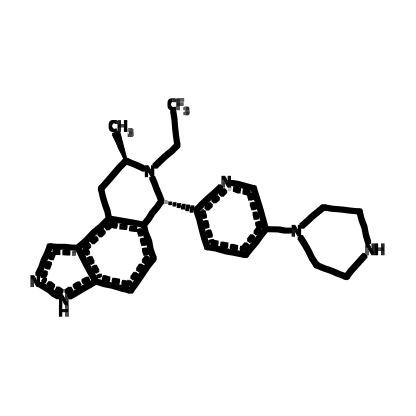 C[C@@H]1Cc2c(ccc3[nH]ncc23)[C@@H](c2ccc(N3CCNCC3)cn2)N1CC(F)(F)F